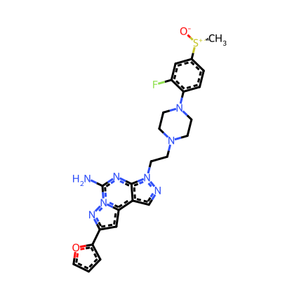 C[S@@+]([O-])c1ccc(N2CCN(CCn3ncc4c3nc(N)n3nc(-c5ccco5)cc43)CC2)c(F)c1